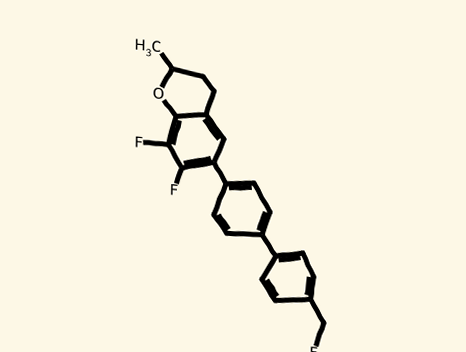 CC1CCc2cc(-c3ccc(-c4ccc(CF)cc4)cc3)c(F)c(F)c2O1